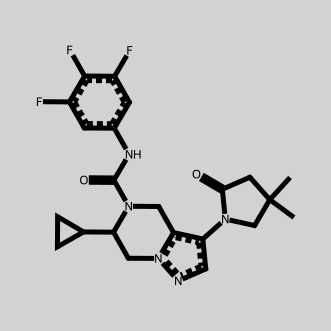 CC1(C)CC(=O)N(c2cnn3c2CN(C(=O)Nc2cc(F)c(F)c(F)c2)C(C2CC2)C3)C1